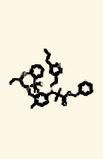 CCCn1cc(CC[C@H](c2ccc(C)c(CN3CC(CC)Oc4ccccc4S3(=O)=O)c2)C(C)(C)C(=O)OCc2ccccc2)nn1